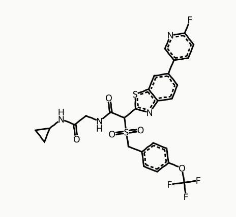 O=C(CNC(=O)C(c1nc2ccc(-c3ccc(F)nc3)cc2s1)S(=O)(=O)Cc1ccc(OC(F)(F)F)cc1)NC1CC1